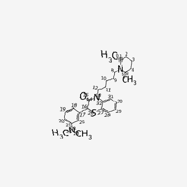 C[C@@H]1CCC[C@H](C)N1CCCCCN1C(=O)C(c2cccc(N(C)C)c2)Sc2ccccc21